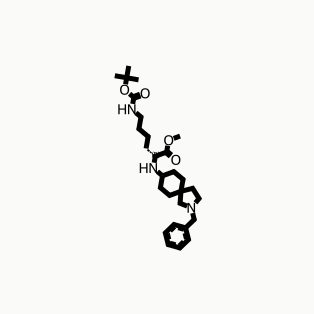 COC(=O)[C@@H](CCCCNC(=O)OC(C)(C)C)NC1CCC2(CC1)CCN(Cc1ccccc1)C2